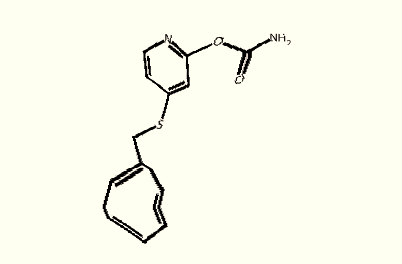 NC(=O)Oc1cc(SCc2ccccc2)ccn1